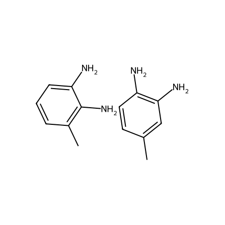 Cc1ccc(N)c(N)c1.Cc1cccc(N)c1N